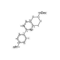 CCCCCCCCCCC1CCc2nc(-c3ccc(CCC)cc3)ncc2C1